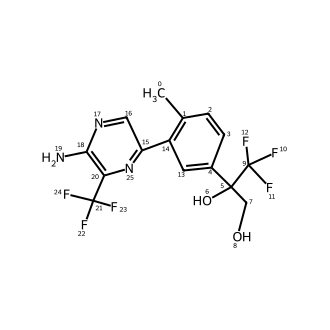 Cc1ccc(C(O)(CO)C(F)(F)F)cc1-c1cnc(N)c(C(F)(F)F)n1